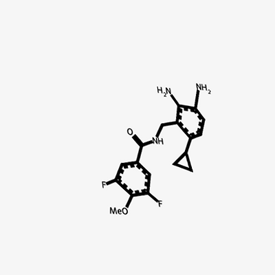 COc1c(F)cc(C(=O)NCc2c(C3CC3)ccc(N)c2N)cc1F